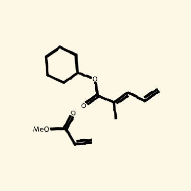 C=CC(=O)OC.C=CC=C(C)C(=O)OC1CCCCC1